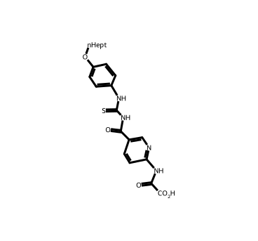 CCCCCCCOc1ccc(NC(=S)NC(=O)c2ccc(NC(=O)C(=O)O)nc2)cc1